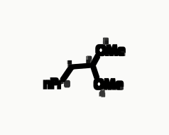 [CH2]CCCC(OC)OC